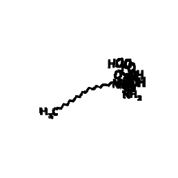 CCCCCCCCCCCCCCCCCCNC(=O)C(CC(N)=O)(C(CC(=O)O)C(=O)O)S(=O)(=O)O